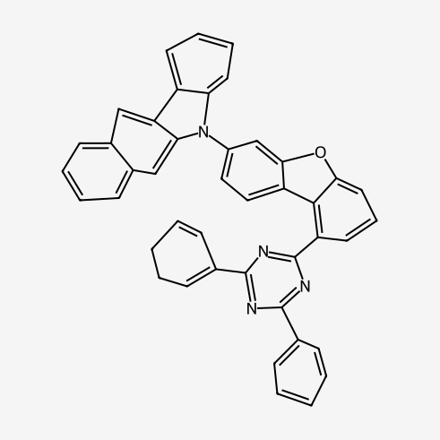 C1=CC(c2nc(-c3ccccc3)nc(-c3cccc4oc5cc(-n6c7ccccc7c7cc8ccccc8cc76)ccc5c34)n2)=CCC1